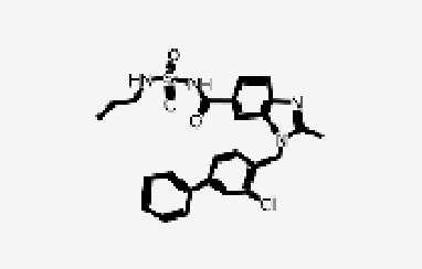 CCCNS(=O)(=O)NC(=O)c1ccc2nc(C)n(Cc3ccc(-c4ccccc4)cc3Cl)c2c1